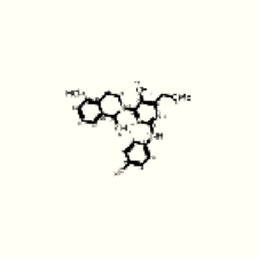 COCc1nc(Nc2ccc(F)cc2)nc(N2CCc3ccccc3C2C)c1C.Cl